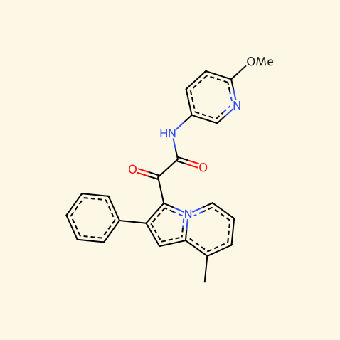 COc1ccc(NC(=O)C(=O)c2c(-c3ccccc3)cc3c(C)cccn23)cn1